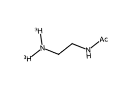 [3H]N([3H])CCNC(C)=O